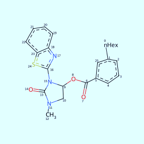 CCCCCCc1cccc(C(=O)OC2CN(C)C(=O)N2c2nc3ccccc3s2)c1